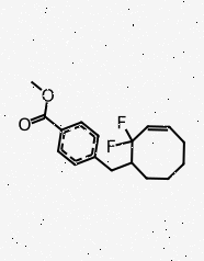 COC(=O)c1ccc(CC2CCCC/C=C\C2(F)F)cc1